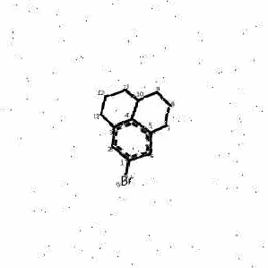 Brc1cc2c3c(c1)CCCC3CCC2